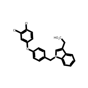 O=C(O)Cc1cn(Cc2ccc(Oc3ccc(Cl)c(Cl)c3)cc2)c2ccccc12